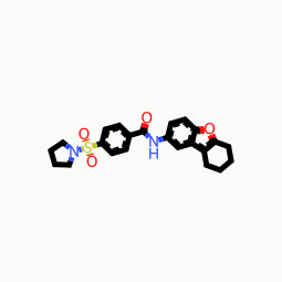 O=C(Nc1ccc2oc3c(c2c1)CCCC3)c1ccc(S(=O)(=O)N2CCCC2)cc1